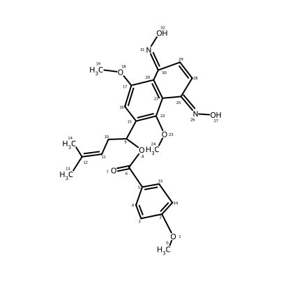 COc1ccc(C(=O)OC(CC=C(C)C)c2cc(OC)c3c(c2OC)C(=NO)C=CC3=NO)cc1